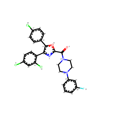 O=C(c1nc(-c2ccc(Cl)cc2Cl)c(-c2ccc(Cl)cc2)o1)N1CCN(c2cccc(F)c2)CC1